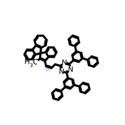 CC1=C(/C=C\Cc2nc(-c3cc(-c4ccccc4)cc(-c4ccccc4)c3)nc(-c3cc(-c4ccccc4)cc(-c4ccccc4)c3)n2)c2ccccc2C12C1=C(C=CCC=C1)c1ccccc12